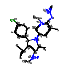 C=N/N=c1/c(C)cc(N2C(=C)C(NCCC)=C(C(=C)C)C2c2ccc(Cl)cc2)cn1CC